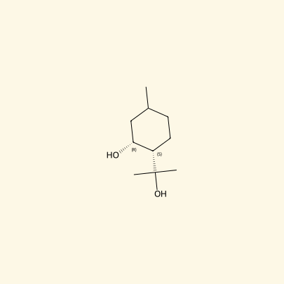 CC1CC[C@H](C(C)(C)O)[C@H](O)C1